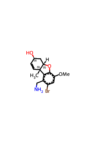 COc1cc(Br)c(CN)c2c1O[C@H]1C[C@H](O)C=C[C@@]21C